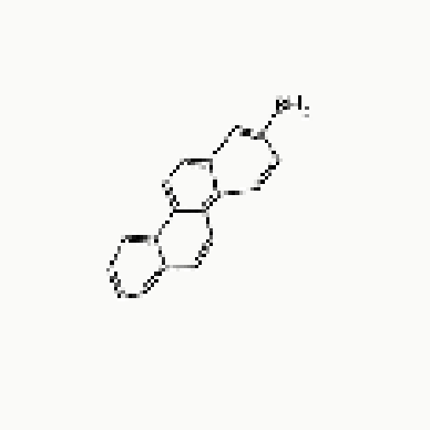 Bc1ccc2c(ccc3c4ccccc4ccc23)c1